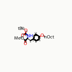 CCCCCCCCOc1ccc(C[C@H](NC(=O)OC(C)(C)C)C(=O)OC)cc1